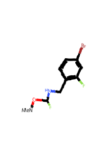 CNOC(F)NCc1ccc(Br)cc1F